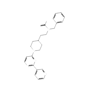 O=C(O)N(CCC1CCN(c2ccnc(-c3cccnc3)n2)CC1)Cc1ccccc1